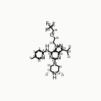 Cc1ccc(Nc2nc(N3C[C@@H](C)N[C@@H](C)C3)nc3c(C(C)C)nn(CCOCC(F)(F)F)c23)nc1